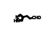 O=CCCc1cn[nH]c1